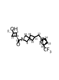 C[C@]1(O)C[C@@H](C(=O)N2CC3(CC(Cn4ccc(C(F)(F)F)n4)C3)C2)C1